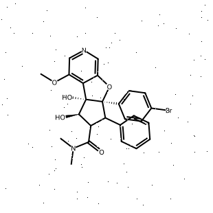 COc1cncc2c1[C@]1(O)[C@H](O)C(C(=O)N(C)C)C(c3ccccc3)[C@]1(c1ccc(Br)cc1)O2